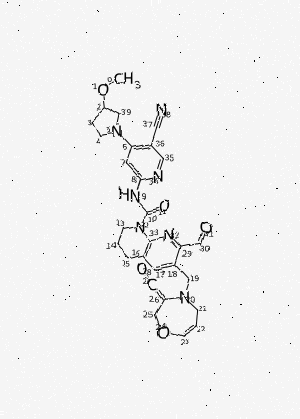 COC1CCN(c2cc(NC(=O)N3CCCc4cc(CN5CC=COCC5=C=O)c(C=O)nc43)ncc2C#N)C1